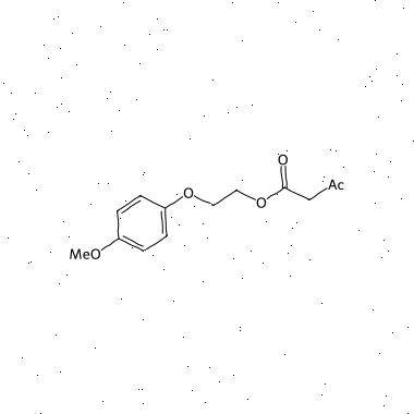 COc1ccc(OCCOC(=O)CC(C)=O)cc1